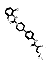 COCC(N)C(=O)Nc1ccc(C2CCN(C(=O)Nc3c(Cl)cccc3Cl)CC2)cc1